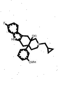 COc1cccc(C23CCN(CC4CC4)CC2(O)Cc2c([nH]c4cc(F)ccc24)C3)c1